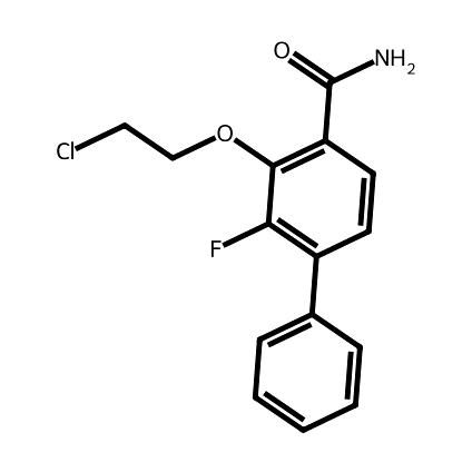 NC(=O)c1ccc(-c2ccccc2)c(F)c1OCCCl